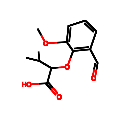 COc1cccc(C=O)c1OC(C(=O)O)C(C)C